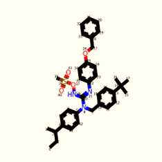 CCC(C)c1ccc(N(Cc2ccc(C(C)(C)C)cc2)C(=Nc2ccc(OCc3ccccc3)cc2)NOS(C)(=O)=O)cc1